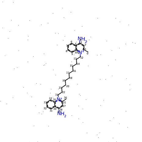 Cc1cc(N)c2ccccc2[n+]1CCCCCCCCCCCC[n+]1c(C)cc(N)c2ccccc21